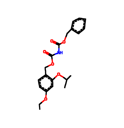 CCOc1ccc(COC(=O)NC(=O)OCc2ccccc2)c(OC(C)C)c1